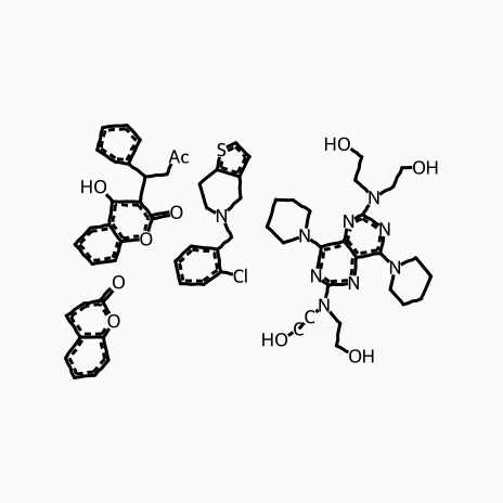 CC(=O)CC(c1ccccc1)c1c(O)c2ccccc2oc1=O.Clc1ccccc1CN1CCc2sccc2C1.O=c1ccc2ccccc2o1.OCCN(CCO)c1nc(N2CCCCC2)c2nc(N(CCO)CCO)nc(N3CCCCC3)c2n1